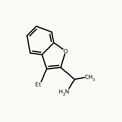 CCc1c(C(C)N)oc2ccccc12